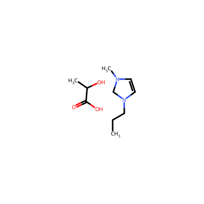 CC(O)C(=O)O.CCCN1C=CN(C)C1